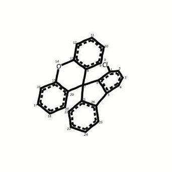 Clc1cccc2c1C1(c3ccccc3Oc3ccccc31)c1ccccc1-2